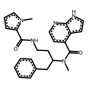 CN(C(=O)c1ccnc2[nH]ccc12)C(CCNC(=O)c1cccn1C)Cc1ccccc1